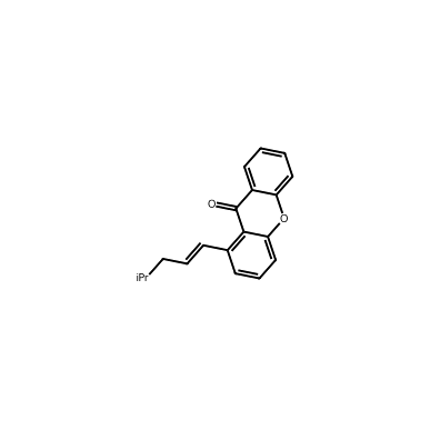 CC(C)CC=Cc1cccc2oc3ccccc3c(=O)c12